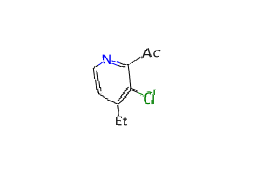 CCc1ccnc(C(C)=O)c1Cl